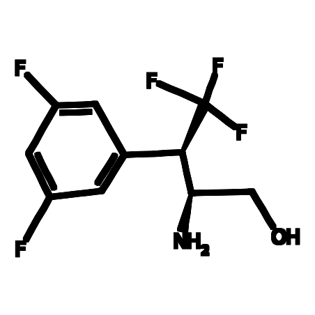 N[C@H](CO)[C@@H](c1cc(F)cc(F)c1)C(F)(F)F